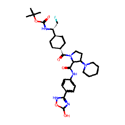 CC(C)(C)OC(=O)N[C@H](CF)[C@H]1CC[C@H](C(=O)N2CCC(N3CCCCC3)C2C(=O)Nc2ccc(C3=NC(O)ON3)cc2)CC1